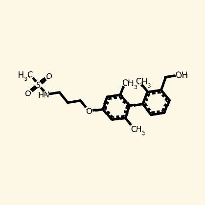 Cc1cc(OCCCNS(C)(=O)=O)cc(C)c1-c1cccc(CO)c1C